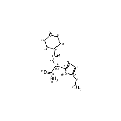 CCc1ccc([C@@H](CNC2CCOCC2)C(N)=O)s1